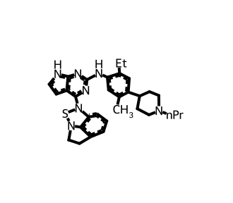 CCCN1CCC(c2cc(CC)c(Nc3nc(N4SN5CCc6cccc4c65)c4cc[nH]c4n3)cc2C)CC1